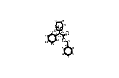 O=C(OCc1ccccc1)C(c1ccccc1)N1C2CCC1CC2